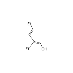 CCC=CC(=CO)CC